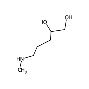 CNCCCC(O)CO